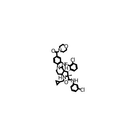 C[C@]1(C(=O)Nc2cccc(Cl)c2)[C@@H](c2cccc(Cl)c2F)[C@@H]2c3nc4cc(C(=O)N5CCOCC5)ccc4n3CC[C@@H]2N1CC1CC1